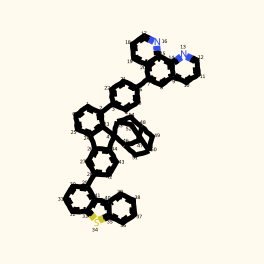 c1cc(-c2ccc(-c3cc4cccnc4c4ncccc34)cc2)c2c(c1)-c1cc(-c3cccc4sc5ccccc5c34)ccc1C21C2CC3CC(C2)CC1C3